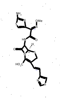 CO/N=C(/C(=O)NC1C(=O)N2C(C(=O)O)=C(/C=C/c3cscn3)CS[C@H]12)c1csc(N)n1